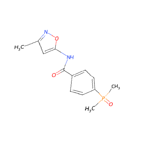 Cc1cc(NC(=O)c2ccc(P(C)(C)=O)cc2)on1